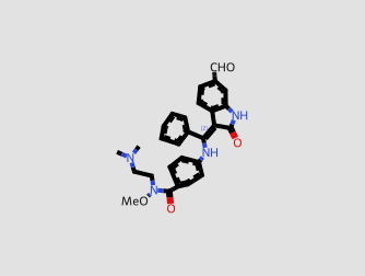 CON(CCN(C)C)C(=O)c1ccc(N/C(=C2\C(=O)Nc3cc(C=O)ccc32)c2ccccc2)cc1